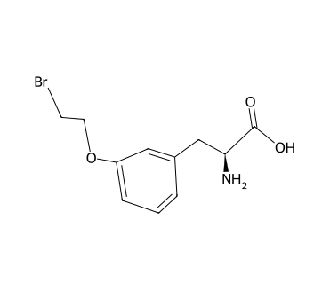 N[C@@H](Cc1cccc(OCCBr)c1)C(=O)O